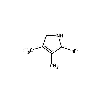 CCCC1NCC(C)=C1C